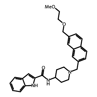 COCCOCc1ccc2ccc(CN3CCC(NC(=O)c4cc5ccccc5[nH]4)CC3)cc2c1